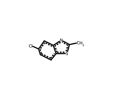 Cc1nc2cc(Cl)ccc2s1